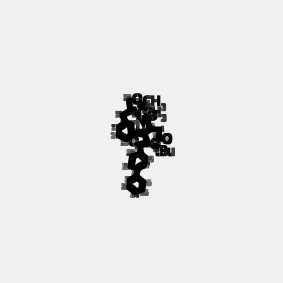 CC(C)(C)OC(=O)CC(C(=O)NN1C(Cc2ccccc2)COC1(C)C)c1coc(-c2ccc(-c3ccccc3)cc2)c1